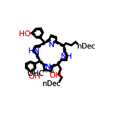 CCCCCCCCCCCCCc1c2nc(c(-c3cccc(O)c3)c3ccc([nH]3)c(-c3cccc(O)c3)c3nc(c(CCCCCCCCCCCCC)c4ccc1[nH]4)[C@H](O)[C@@H]3C=O)C=C2